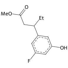 CCC(CC(=O)OC)c1cc(O)cc(F)c1